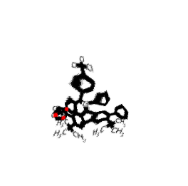 CC(C)(C)c1cc2c(cc1-c1ccccc1)[CH]([Zr]([C]1=CC=CC1)=[C](c1ccc(C(Cl)(Cl)Cl)cc1)c1ccc(C(Cl)(Cl)Cl)cc1)c1cc(-c3ccccc3)c(C(C)(C)C)cc1-2